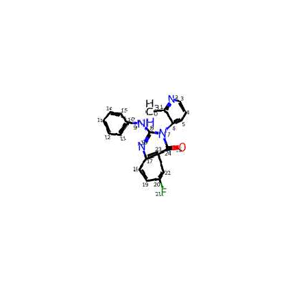 Cc1ncccc1-n1c(Nc2ccccc2)nc2ccc(F)cc2c1=O